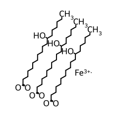 CCCCCCC(O)CCCCCCCCCCC(=O)[O-].CCCCCCC(O)CCCCCCCCCCC(=O)[O-].CCCCCCC(O)CCCCCCCCCCC(=O)[O-].[Fe+3]